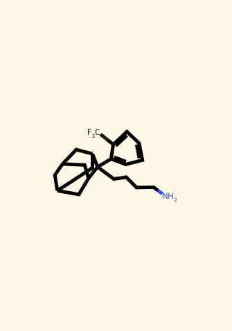 NCCCCC1(c2ccccc2C(F)(F)F)C2CC3CC(C2)CC1C3